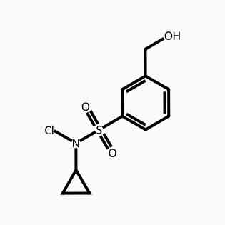 O=S(=O)(c1cccc(CO)c1)N(Cl)C1CC1